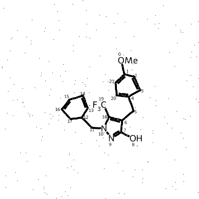 COc1ccc(Cc2c(O)nn(CC3C=CC=CC3)c2C(F)(F)F)cc1